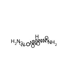 CC(C)(N)C(=O)N1CC2C1CN2C(=O)Nc1ccn(-c2ccc(CN3CCC(N)CC3)cc2)c(=O)n1